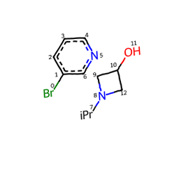 Brc1cccnc1.CC(C)N1CC(O)C1